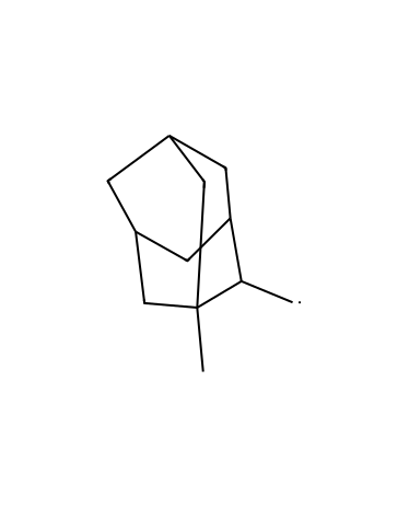 [CH2]C1C2CC3CC(C2)CC1(C)C3